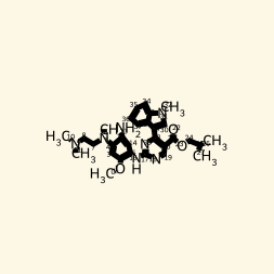 COc1cc(N(C)CCN(C)C)c(N)cc1Nc1ncc(C(=O)OCC(C)C)c(-c2cn(C)c3ccccc23)n1